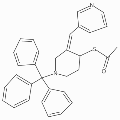 CC(=O)SC1CCN(C(c2ccccc2)(c2ccccc2)c2ccccc2)CC1=Cc1cccnc1